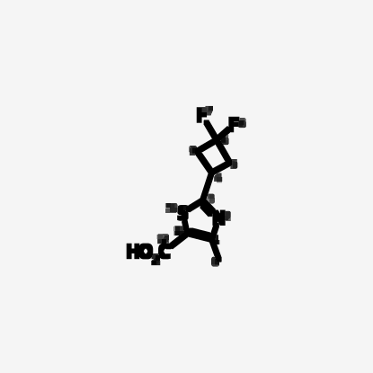 Cc1nc(C2CC(F)(F)C2)sc1C(=O)O